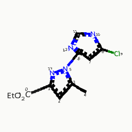 CCOC(=O)c1cc(C)n(-c2cc(Cl)ncn2)n1